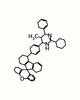 CC1C(C2=CC=CCC2)N=C(C2CCCCC2)NC1C1=CCC(C2CCCC3=C2C2=C(CCC=C2)C32C3=C(CCCC3)Oc3ccccc32)C=C1